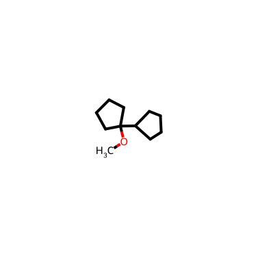 COC1(C2CCCC2)CCCC1